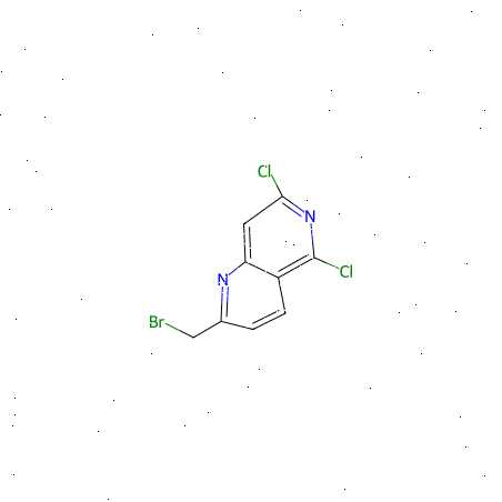 Clc1cc2nc(CBr)ccc2c(Cl)n1